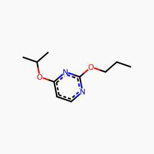 CCCOc1nccc(OC(C)C)n1